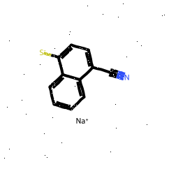 N#Cc1ccc([S-])c2ccccc12.[Na+]